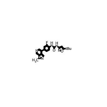 Cn1ncc2c(-c3ccc(NC(=O)Nc4cc(C(C)(C)C)on4)c(F)c3)cncc21